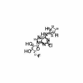 O[C@@H]1[C@H](O)[C@@H](CF)O[C@H]1n1cnc2c(N[C@@H]3C[C@@H]4CC[C@H]3C4)nc(Cl)nc21